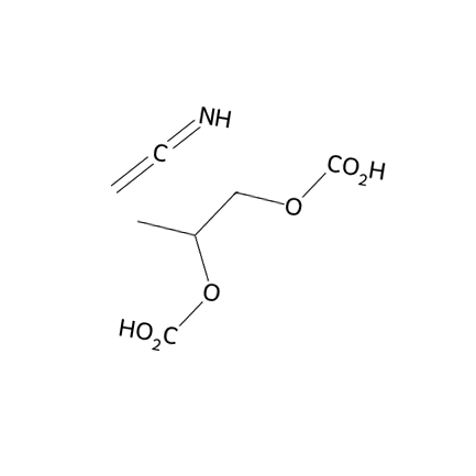 C=C=N.CC(COC(=O)O)OC(=O)O